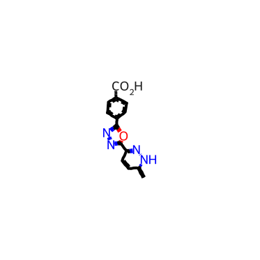 C=C1C=CC(c2nnc(-c3ccc(C(=O)O)cc3)o2)=NN1